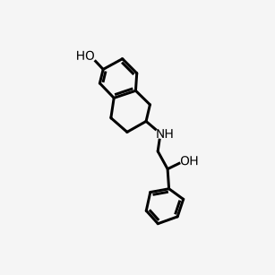 Oc1ccc2c(c1)CCC(NCC(O)c1ccccc1)C2